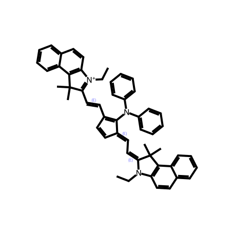 CCN1/C(=C/C=C2\C=CC(/C=C/C3=[N+](CC)c4ccc5ccccc5c4C3(C)C)=C2N(c2ccccc2)c2ccccc2)C(C)(C)c2c1ccc1ccccc21